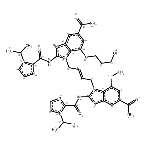 COc1cc(C(N)=O)cc2nc(NC(=O)c3nccn3C(C)C)n(CC=CCn3c(NC(=O)c4nccn4C(C)C)nc4cc(C(N)=O)cc(OCCCO)c43)c12